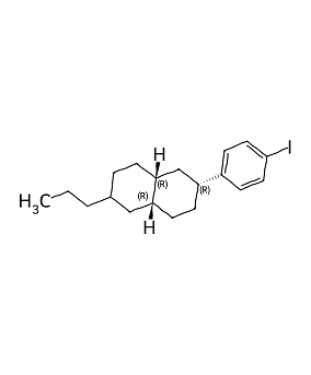 CCCC1CC[C@@H]2C[C@H](c3ccc(I)cc3)CC[C@@H]2C1